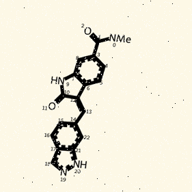 CNC(=O)c1ccc2c(c1)NC(=O)C2=Cc1ccc2cn[nH]c2c1